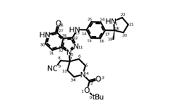 CC(C)(C)OC(=O)N1CCC(CC#N)(n2nc(Nc3ccc([C@@]4(C)CCCN4)cc3)c3c(=O)[nH]ccc32)CC1